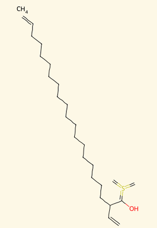 C.C=CCCCCCCCCCCCCCCCCCC(C=C)C(O)=S(=C)=C